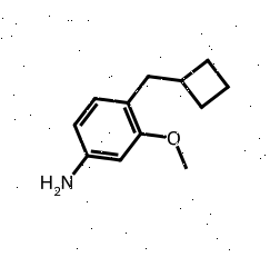 COc1cc(N)ccc1CC1CCC1